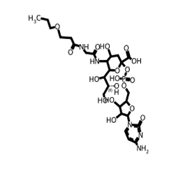 CCCOCCC(=O)NCC(=O)NC1C(O)CC(OP(=O)(O)OCC2OC(n3ccc(N)nc3=O)C(O)C2O)(C(=O)O)OC1C(O)[C@H](O)CO